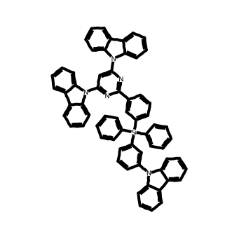 c1ccc([Si](c2ccccc2)(c2cccc(-c3nc(-n4c5ccccc5c5ccccc54)cc(-n4c5ccccc5c5ccccc54)n3)c2)c2cccc(-n3c4ccccc4c4ccccc43)c2)cc1